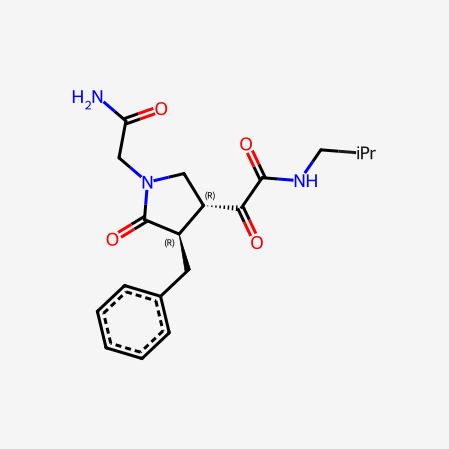 CC(C)CNC(=O)C(=O)[C@H]1CN(CC(N)=O)C(=O)[C@@H]1Cc1ccccc1